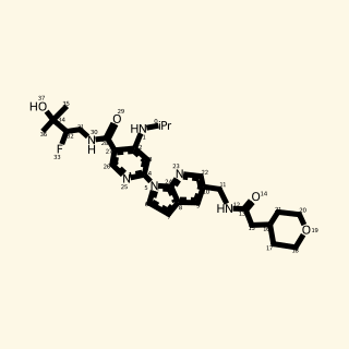 CC(C)Nc1cc(-n2ccc3cc(CNC(=O)CC4CCOCC4)cnc32)ncc1C(=O)NCC(F)C(C)(C)O